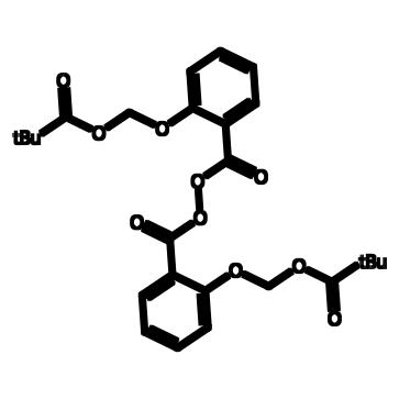 CC(C)(C)C(=O)OCOc1ccccc1C(=O)OOC(=O)c1ccccc1OCOC(=O)C(C)(C)C